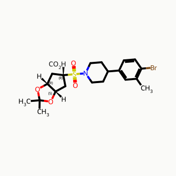 Cc1cc(C2CCN(S(=O)(=O)[C@]3(C(=O)O)C[C@@H]4OC(C)(C)O[C@@H]4C3)CC2)ccc1Br